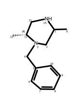 CC1CN(Cc2ccccc2)[C@H](C)CN1